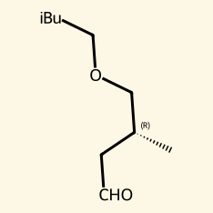 CCC(C)COC[C@H](C)CC=O